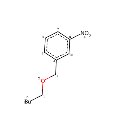 CCC(C)COCc1cccc([N+](=O)[O-])c1